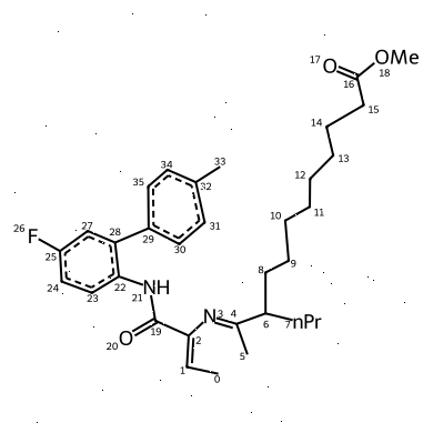 C/C=C(\N=C(/C)C(CCC)CCCCCCCCC(=O)OC)C(=O)Nc1ccc(F)cc1-c1ccc(C)cc1